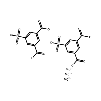 O=C([O-])c1cc(C(=O)[O-])cc(S(=O)(=O)[O-])c1.O=C([O-])c1cc(C(=O)[O-])cc(S(=O)(=O)[O-])c1.[Mg+2].[Mg+2].[Mg+2]